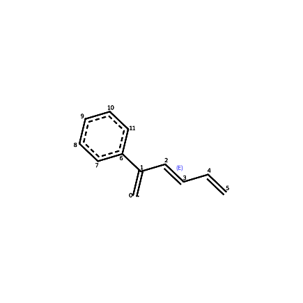 [CH]=C(/C=C/C=C)c1ccccc1